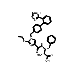 CCOc1nc(C(=O)N[C@H](Cc2ccccc2)[C@@H](O)C(=O)O)cn1Cc1ccc(-c2ccccc2-c2nnn[nH]2)cc1